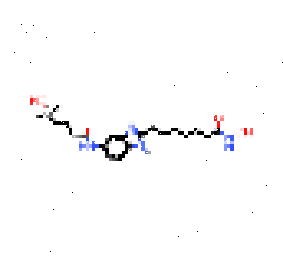 Cn1c(CCCCCCC(=O)NO)nc2cc(NC(=O)CCC[Si](C)(C)O)ccc21